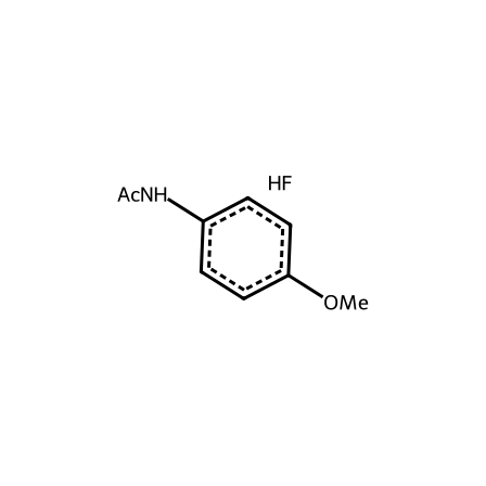 COc1ccc(NC(C)=O)cc1.F